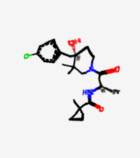 CC(C)[C@@H](NC(=O)C1(C)CC1)C(=O)N1CC[C@](O)(c2ccc(Cl)cc2)C(C)(C)C1